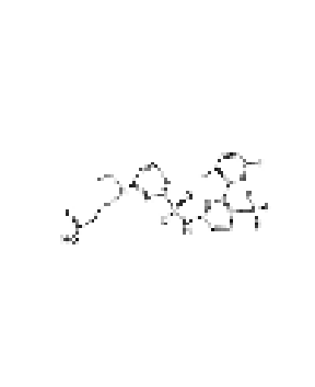 CCN(CCCC(=O)O)c1cccc(S(=O)(=O)Nc2ccc(C(F)(F)F)c(-c3cc(F)ccc3C)n2)n1